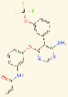 C=CC(=O)Nc1cccc(Oc2ncnc(N)c2-c2cccc(OC(F)(F)F)c2)c1